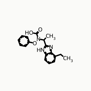 CCc1cccc2[nH]c(C(C)N(Oc3ccccc3)C(=O)O)nc12